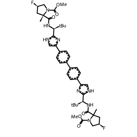 COC(=O)N1C[C@H](F)CC1(C)C(=O)N[C@H](c1nc(-c2ccc(-c3ccc(-c4c[nH]c([C@@H](NC(=O)[C@]5(C)C[C@@H](F)CN5C(=O)OC)C(C)(C)C)n4)cc3)cc2)c[nH]1)C(C)(C)C